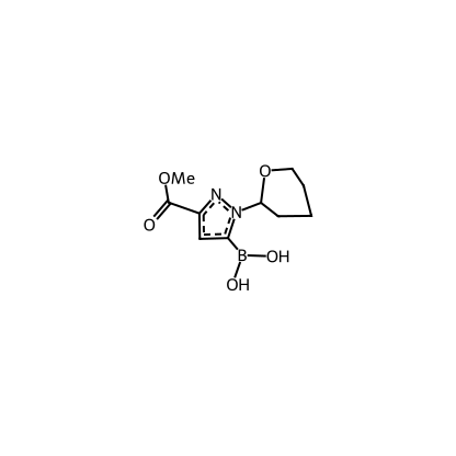 COC(=O)c1cc(B(O)O)n(C2CCCCO2)n1